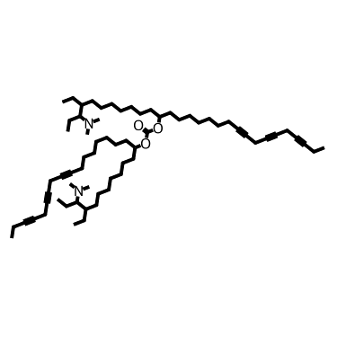 CCC#CCC#CCC#CCCCCCCCC(CCCCCCCC(CC)C(CC)N(C)C)OC(=O)OC(CCCCCCCC#CCC#CCC#CCC)CCCCCCCC(CC)C(CC)N(C)C